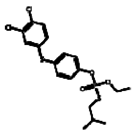 CCOP(=O)(Oc1ccc(Sc2ccc(Cl)c(Cl)c2)cc1)SCC(C)C